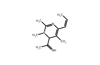 C/C=C\C1=C(C)C(C(C)=N)N(C)C(C)=N1